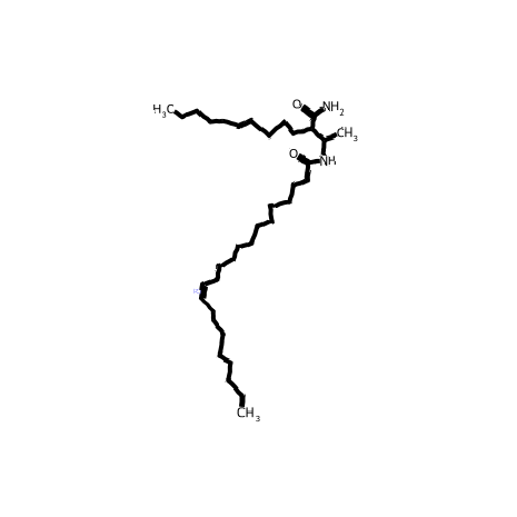 CCCCCCCC/C=C\CCCCCCCCCCCC(=O)NC(C)C(CCCCCCCCCC)C(N)=O